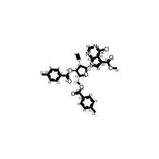 C#C[C@H]1[C@H](OC(=O)c2ccc(C)cc2)[C@@H](COC(=O)c2ccc(C)cc2)O[C@H]1n1cc(C(=O)OC)c2c(Cl)ncnc21